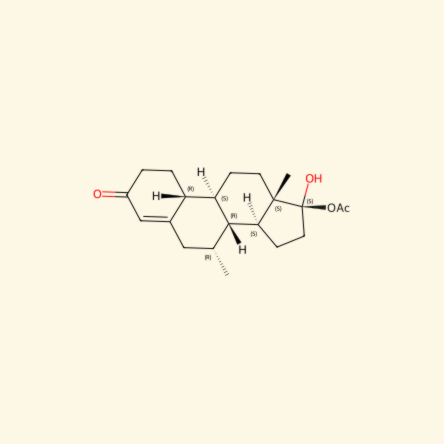 CC(=O)O[C@@]1(O)CC[C@H]2[C@H]3[C@H](CC[C@@]21C)[C@H]1CCC(=O)C=C1C[C@H]3C